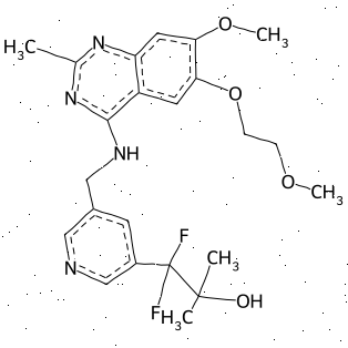 COCCOc1cc2c(NCc3cncc(C(F)(F)C(C)(C)O)c3)nc(C)nc2cc1OC